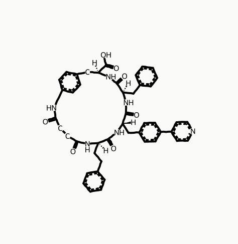 O=C1CCC(=O)N[C@H](CCc2ccccc2)C(=O)N[C@@H](Cc2ccc(-c3ccncc3)cc2)C(=O)N[C@H](Cc2ccccc2)C(=O)N[C@H](C(=O)O)Cc2ccc(cc2)N1